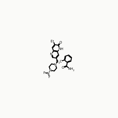 CCc1cc2ncc(CN3CCN(N(F)F)CC3)cc2[nH]c1=O.Cc1ccccc1C(N)=O